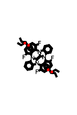 CCCc1ccc(N2C(=C3N(c4ccc(CCC)cc4F)c4ccccc4N3c3ccc(CCC)cc3F)N(c3ccc(CCC)cc3F)c3ccccc32)c(F)c1